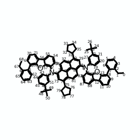 CCc1ccccc1-c1cccc2c1oc1c(N(c3cccc(C(C)(C)C)c3)c3cc(C4CCCC4)c4ccc5c(N(c6cccc(C(C)(C)C)c6)c6cccc7c6oc6c(-c8ccccc8CC)cccc67)cc(C6CCCC6)c6ccc3c4c65)cccc12